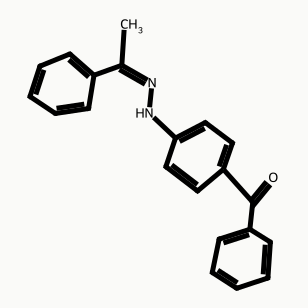 CC(=NNc1ccc(C(=O)c2ccccc2)cc1)c1ccccc1